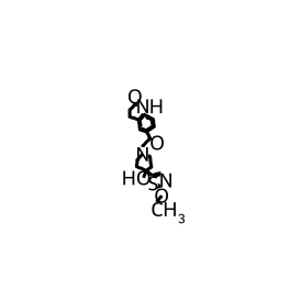 CCOc1ncc(C2(O)CCN(CC(=O)c3ccc4c(c3)CCC(=O)N4)CC2)s1